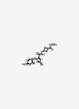 CC(C)(C)OC(=O)N1CC(CNC(=O)c2cc(Br)nn2Cc2ccc(O)cc2F)C1